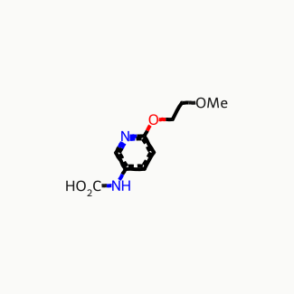 COCCOc1ccc(NC(=O)O)cn1